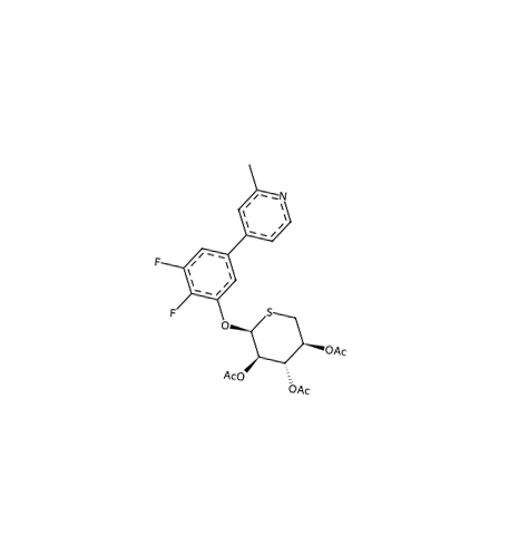 CC(=O)O[C@@H]1[C@@H](OC(C)=O)[C@@H](Oc2cc(-c3ccnc(C)c3)cc(F)c2F)SC[C@H]1OC(C)=O